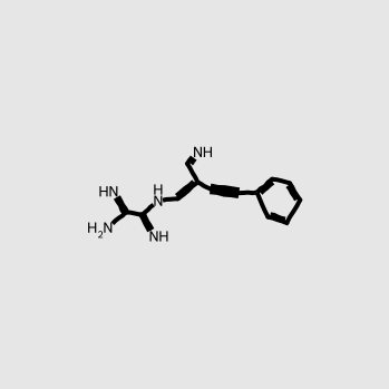 N=C/C(C#Cc1ccccc1)=C\NC(=N)C(=N)N